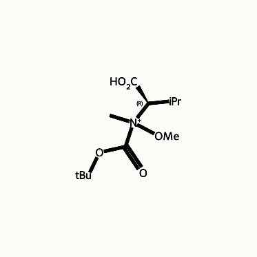 CO[N+](C)(C(=O)OC(C)(C)C)[C@@H](C(=O)O)C(C)C